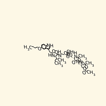 CCCCOc1ccc2[nH]cc(CC(=O)N[C@H](C(=O)NCCOP(=O)(O)OC[C@H](NC(C)=O)C(=O)NC[C@@H](COC(C)=O)OC(C)=O)[C@@H](C)CC)c2c1